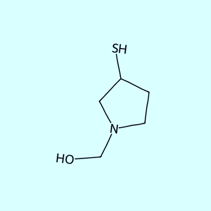 OCN1CCC(S)C1